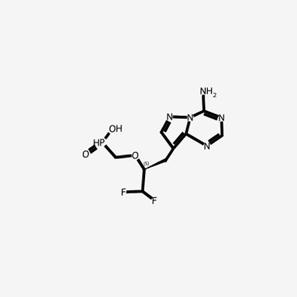 Nc1ncnc2c(C[C@H](OC[PH](=O)O)C(F)F)cnn12